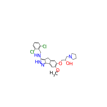 COc1cc2c(cc1OCC(O)CN1CCCC1)Cc1c-2n[nH]c1NCc1c(Cl)cccc1Cl